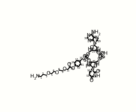 NCCCOCCOCCOCC(=O)Oc1ccc(CSP2(=O)OC[C@H]3O[C@@H](n4cnc5c(N)ncnc54)C[C@@H]3OP(=O)(O)OC[C@H]3O[C@@H](n4ccc(=O)[nH]c4=O)[C@H](F)[C@@H]3O2)cc1